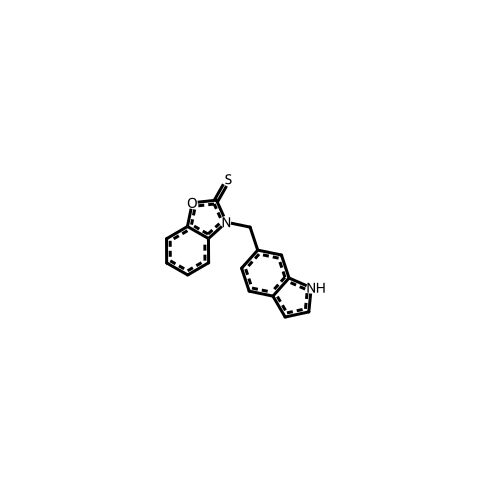 S=c1oc2ccccc2n1Cc1ccc2cc[nH]c2c1